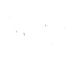 CC(C)(C)OC(=O)NC[C@@H](NC(=O)c1cncc2c(Br)c[nH]c12)c1ccccc1